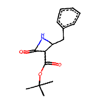 CC(C)(C)OC(=O)C1C(=O)NC1Cc1ccccc1